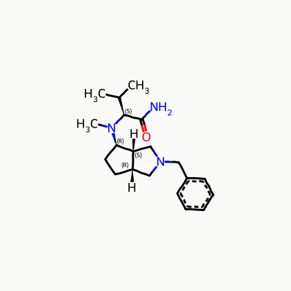 CC(C)[C@@H](C(N)=O)N(C)[C@@H]1CC[C@H]2CN(Cc3ccccc3)C[C@H]21